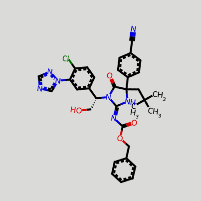 CC(C)(C)CC1(c2ccc(C#N)cc2)NC(=NC(=O)OCc2ccccc2)N([C@H](CO)c2ccc(Cl)c(-n3cncn3)c2)C1=O